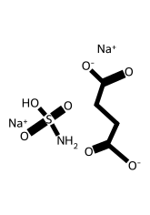 NS(=O)(=O)O.O=C([O-])CCC(=O)[O-].[Na+].[Na+]